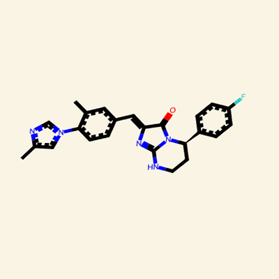 Cc1cn(-c2ccc(/C=C3\N=C4NCC[C@H](c5ccc(F)cc5)N4C3=O)cc2C)cn1